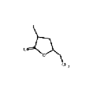 CCC1CC(I)C(=O)O1